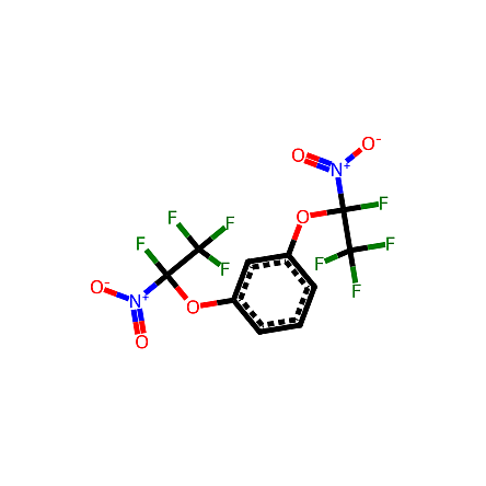 O=[N+]([O-])C(F)(Oc1cccc(OC(F)([N+](=O)[O-])C(F)(F)F)c1)C(F)(F)F